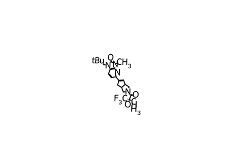 Cn1c(=O)n(CC(C)(C)C)c2ccc(C3=CC4CN(C(=O)[C@@](C)(O)C(F)(F)F)CC4C3)nc21